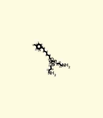 Cc1ccc(CCCCCCOP(=S)(OCCCN)OCCCN)cc1